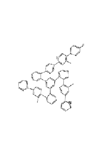 Cc1cc(-c2ccc(-c3ccccc3-c3cc(-c4ccccc4-c4ccc(-c5ccccn5)cc4C)cc(-c4ccccc4-c4ccc(-c5ccccn5)cc4C)c3)cc2)ncc1-c1ccc(F)cc1